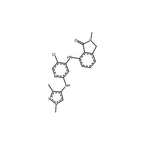 Cc1nn(C)cc1Nc1cc(Nc2cccc3c2C(=O)N(C)C3)c(Cl)cn1